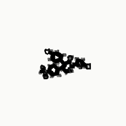 CS(=O)(=O)c1ccc(-c2cnn(-c3ccc(Cl)s3)c(=O)c2-c2ccc(Cl)cc2)cc1